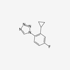 Fc1ccc(-n2cnnn2)c(C2CC2)c1